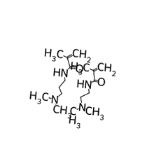 C=C(C)C(=O)NCCCN(C)C.C=C(C)C(=O)NCCN(C)C